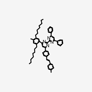 CCCCCCCCc1cc(-c2cc(-c3ccc(/C=C/c4ccc(C)cc4)cc3)nc(-c3nc(-c4ccccc4)cc(-c4ccccc4)n3)n2)c(CCCCCCCC)cc1C